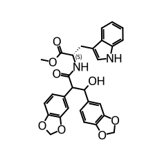 COC(=O)[C@H](Cc1c[nH]c2ccccc12)NC(=O)C(c1ccc2c(c1)OCO2)C(O)c1ccc2c(c1)OCO2